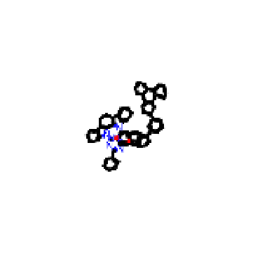 C1=CC(c2nc(-c3ccccc3)nc(-n3c4c(c5ccccc53)CCc3c-4n(-c4cccc(-c5cccc(-c6cccc(-c7ccc8c9ccccc9c9ccccc9c8c7)c6)c5)c4)c4ccccc34)n2)=CCC1